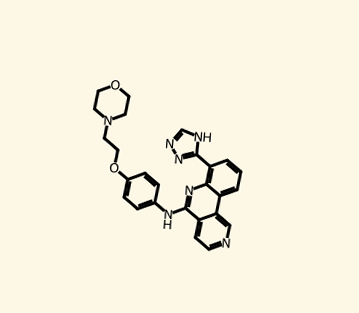 c1cc(-c2nnc[nH]2)c2nc(Nc3ccc(OCCN4CCOCC4)cc3)c3ccncc3c2c1